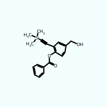 C[Si](C)(C)C#Cc1cc(CO)ccc1OC(=O)c1ccccc1